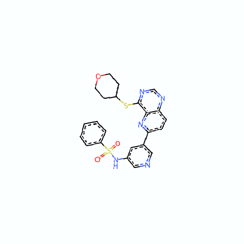 O=S(=O)(Nc1cncc(-c2ccc3ncnc(SC4CCOCC4)c3n2)c1)c1ccccc1